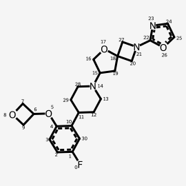 Fc1ccc(OC2COC2)c(C2CCN(C3COC4(C3)CN(c3ncco3)C4)CC2)c1